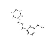 ClCc1cccc(OCCN2CCCCC2)c1